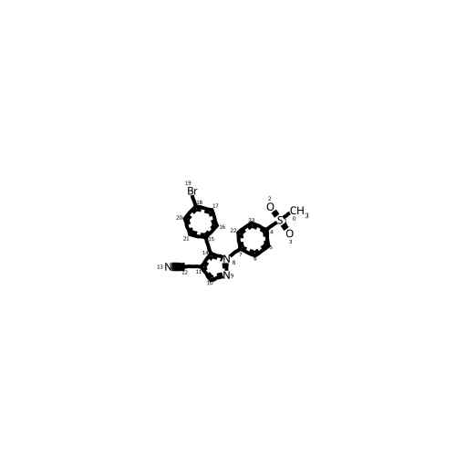 CS(=O)(=O)c1ccc(-n2ncc(C#N)c2-c2ccc(Br)cc2)cc1